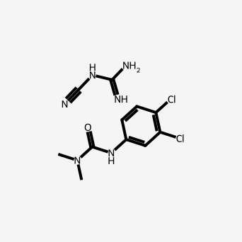 CN(C)C(=O)Nc1ccc(Cl)c(Cl)c1.N#CNC(=N)N